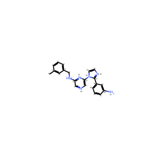 Cc1cccc(CNc2cncc(-n3ccnc3-c3cccc(N)c3)n2)c1